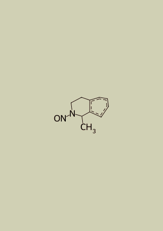 CC1c2ccccc2CCN1N=O